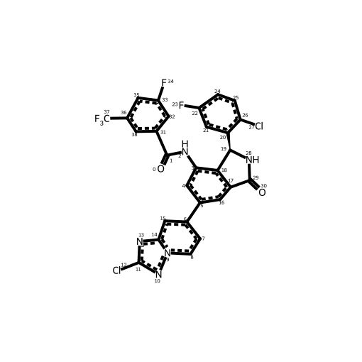 O=C(Nc1cc(-c2ccn3nc(Cl)nc3c2)cc2c1[C@@H](c1cc(F)ccc1Cl)NC2=O)c1cc(F)cc(C(F)(F)F)c1